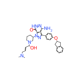 CN(C)C/C=C/C(O)N1CCC[C@@H](n2nc(-c3ccc(OC4Cc5ccccc5C4)cc3)c3c(N)n[nH]c(=O)c32)C1